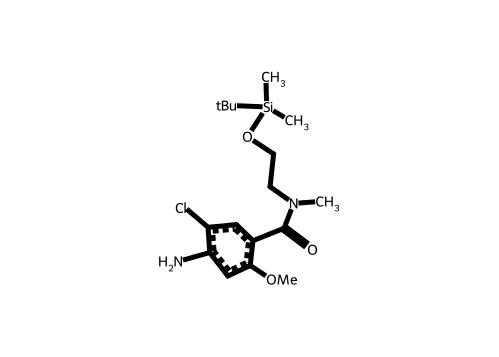 COc1cc(N)c(Cl)cc1C(=O)N(C)CCO[Si](C)(C)C(C)(C)C